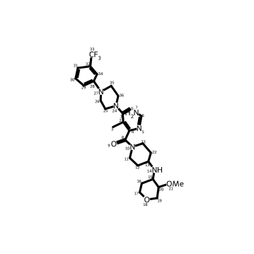 C=C(/C(C)=C(\N=C/N)C(=O)N1CCC(NC2CCOCC2OC)CC1)N1CCN(c2cccc(C(F)(F)F)c2)CC1